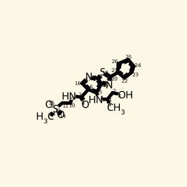 CC(CO)Nc1c(C(=O)NCCS(C)(=O)=O)cnc2sc(-c3ccccc3)nc12